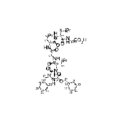 CC(C)C[C@H](NC(=O)CNC(=O)[C@H](CC(C)C)NC(=O)[C@H](Cc1ccccc1)NC(=O)OCc1ccccc1)C(=O)N[C@@H](CC(C)C)C(=O)NCC(=O)O